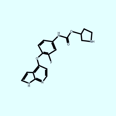 O=C(Nc1ccc(Oc2ccnc3[nH]ccc23)c(F)c1)OC1CCNC1